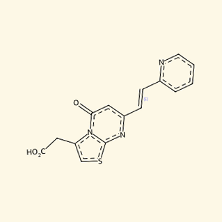 O=C(O)Cc1csc2nc(/C=C/c3ccccn3)cc(=O)n12